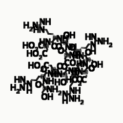 N=C(N)NCCC[C@H](NC(=O)[C@H](CO)NC(=O)[C@H](CC(=O)O)NC(=O)[C@H](CCCNC(=N)N)NC(=O)[C@H](CO)NC(=O)[C@H](CC(=O)O)NC(=O)[C@H](CCCNC(=N)N)NC(=O)[C@H](CO)NC(=O)[C@H](CC(=O)O)NC(=O)[C@H](CCCNC(=N)N)NC(=O)[C@@H](N)CO)C(=O)N[C@@H](CC(=O)O)C(=O)O